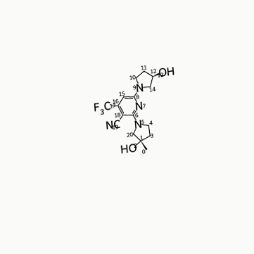 C[C@]1(O)CCN(c2nc(N3CC[C@@H](O)C3)cc(C(F)(F)F)c2C#N)C1